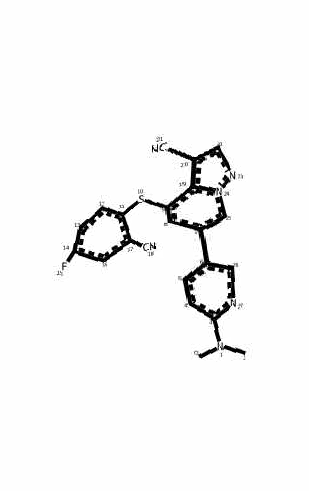 CN(C)c1ccc(-c2cc(Sc3ccc(F)cc3C#N)c3c(C#N)cnn3c2)cn1